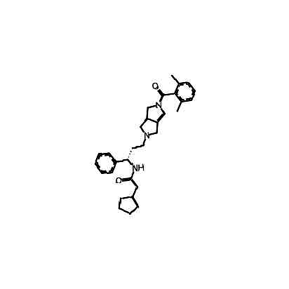 Cc1cccc(C)c1C(=O)N1C=C2CN(CC[C@H](NC(=O)CC3CCCC3)c3ccccc3)CC2C1